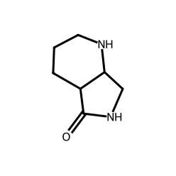 O=C1NCC2NCCCC12